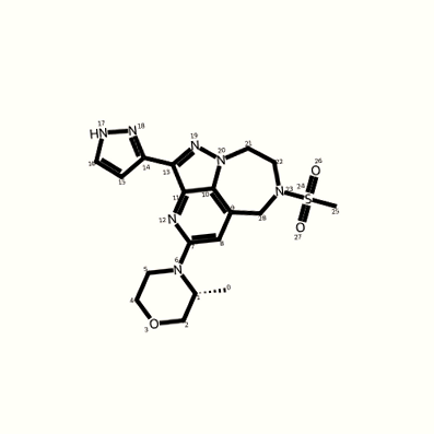 C[C@@H]1COCCN1c1cc2c3c(n1)c(-c1cc[nH]n1)nn3CCN(S(C)(=O)=O)C2